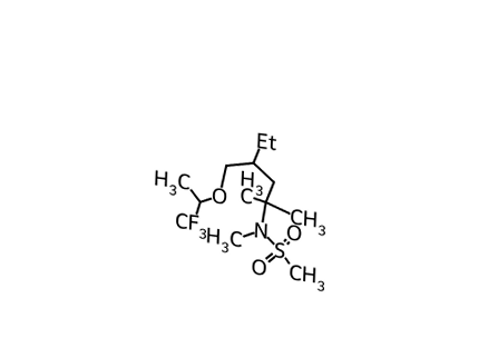 CCC(COC(C)C(F)(F)F)CC(C)(C)N(C)S(C)(=O)=O